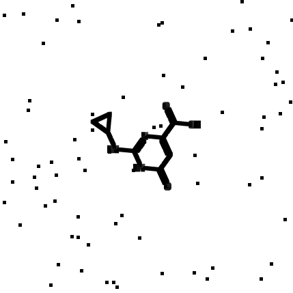 O=C(O)c1cc(=O)[nH]c(NC2CC2)n1